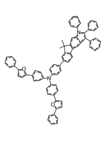 CC1(C)c2cc(-c3ccc(N(c4ccc(-c5ccc(-c6ccccc6)o5)cc4)c4ccc(-c5ccc(-c6ccccc6)o5)cc4)cc3)ccc2-c2cc3c(-c4ccccc4)c(-c4ccccc4)n(-c4ccccc4)c3cc21